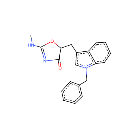 CNC1=NC(=O)C(Cc2cn(Cc3ccccc3)c3ccccc23)O1